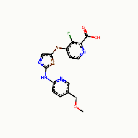 COCc1ccc(Nc2ncc(Sc3ccnc(C(=O)O)c3F)s2)nc1